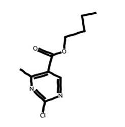 CCCCOC(=O)c1cnc(Cl)nc1C